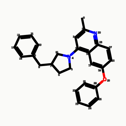 Cc1cc(N2CCC(Cc3ccccc3)C2)c2cc(Oc3ccccc3)ccc2n1